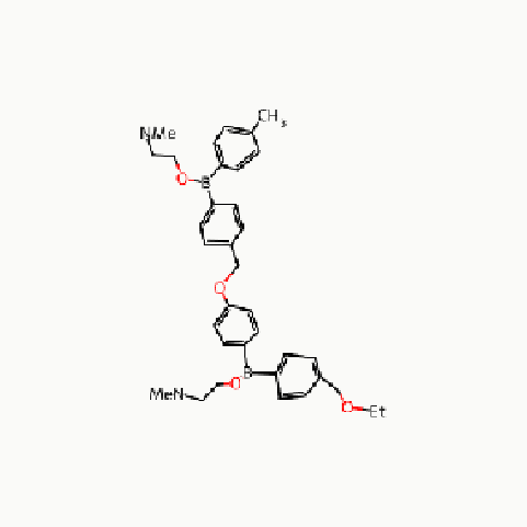 CCOCc1ccc(B(OCCNC)c2ccc(OCc3ccc(B(OCCNC)c4ccc(C)cc4)cc3)cc2)cc1